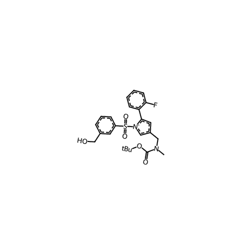 CN(Cc1cc(-c2ccccc2F)n(S(=O)(=O)c2cccc(CO)c2)c1)C(=O)OC(C)(C)C